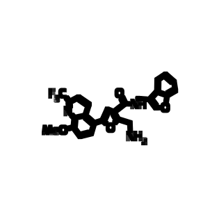 COc1ccc(-c2cc(C(=O)NCc3coc4ccccc34)c(CN)o2)c2ccc(C(F)(F)F)nc12